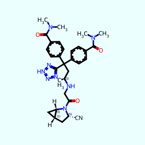 C[C@@H](CC(c1ccc(C(=O)N(C)C)cc1)(c1ccc(C(=O)N(C)C)cc1)c1nn[nH]n1)NCC(=O)N1[C@H](C#N)C[C@@H]2C[C@@H]21